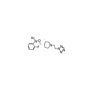 CC(=O)N(OC[C@H]1CCN(CCn2ncnn2)C[C@H]1C)c1ccccc1F